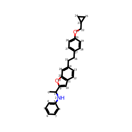 CC(Nc1ccccc1)c1cc2ccc(CCc3ccc(OCC4CC4)cc3)cc2o1